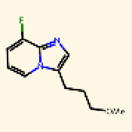 COCCCc1cnc2c(F)cccn12